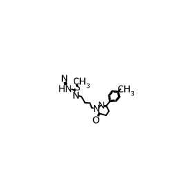 CSC(=NCCCCN1N=C(c2ccc(C)cc2)CCC1=O)NC#N